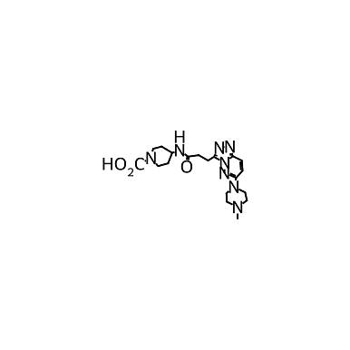 CN1CCN(c2ccc3nnc(CCC(=O)NC4CCN(C(=O)O)CC4)n3n2)CC1